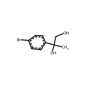 CC(O)([CH]O)c1ccc(Br)cc1